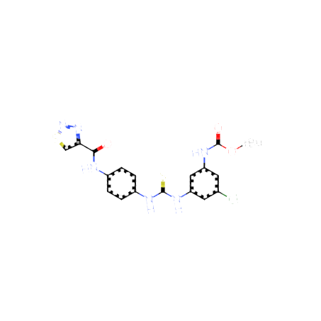 CC(C)(C)OC(=O)Nc1cc(Cl)cc(NC(=S)Nc2ccc(NC(=O)c3csnn3)cc2)c1